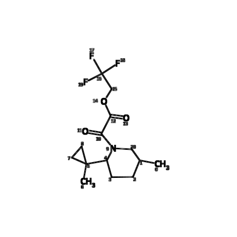 CC1CCC(C2(C)CC2)N(C(=O)C(=O)OCC(F)(F)F)C1